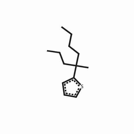 CCCCC(C)(CCC)c1cccs1